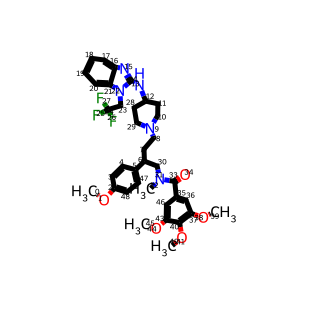 COc1ccc(C(CCN2CCC(Nc3nc4ccccc4n3CC(F)(F)F)CC2)CN(C)C(=O)c2cc(OC)c(OC)c(OC)c2)cc1